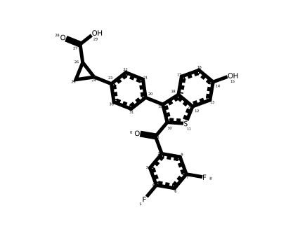 O=C(c1cc(F)cc(F)c1)c1sc2cc(O)ccc2c1-c1ccc(C2CC2C(=O)O)cc1